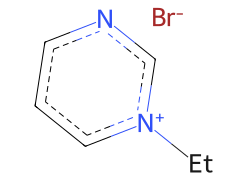 CC[n+]1cccnc1.[Br-]